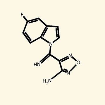 N=C(c1nonc1N)n1ccc2cc(F)ccc21